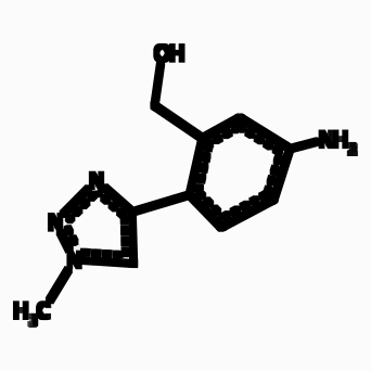 Cn1cc(-c2ccc(N)cc2CO)nn1